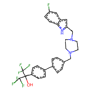 OC(c1ccc(-c2ccc(CN3CCN(Cc4cc5cc(F)ccc5[nH]4)CC3)cc2)cc1)(C(F)(F)F)C(F)(F)F